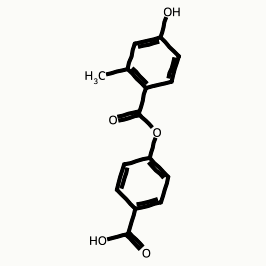 Cc1cc(O)ccc1C(=O)Oc1ccc(C(=O)O)cc1